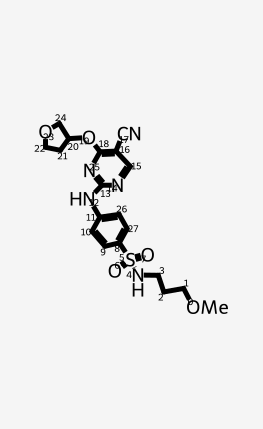 COCCCNS(=O)(=O)c1ccc(Nc2ncc(C#N)c(OC3CCOC3)n2)cc1